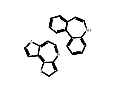 C1=Cc2ccccc2-c2ccccc2N1.C1=NC2=CCSC2=c2ccsc2=C1